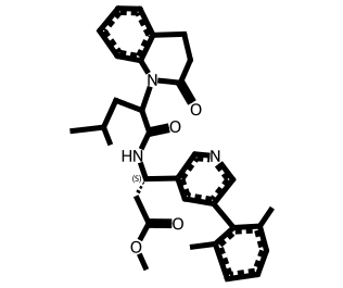 COC(=O)C[C@H](NC(=O)C(CC(C)C)N1C(=O)CCc2ccccc21)c1cncc(-c2c(C)cccc2C)c1